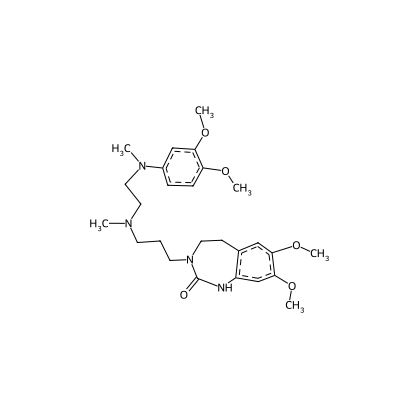 COc1ccc(N(C)CCN(C)CCCN2CCc3cc(OC)c(OC)cc3NC2=O)cc1OC